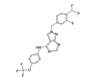 Fc1cc(Cn2cc3c(Nc4ccc(OC(F)(F)F)cc4)ncnc3n2)ccc1C(F)F